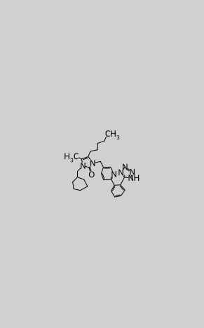 CCCCCc1c(C)n(CC2CCCCC2)c(=O)n1Cc1ccc(-c2ccccc2-c2nnn[nH]2)nc1